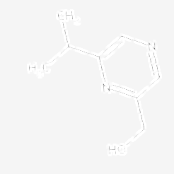 CC(C)c1cncc(CO)n1